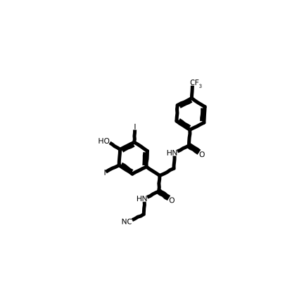 N#CCNC(=O)C(CNC(=O)c1ccc(C(F)(F)F)cc1)c1cc(I)c(O)c(I)c1